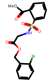 COC(=O)c1ccccc1S(=O)(=O)NCC(=O)OCc1ccccc1Br